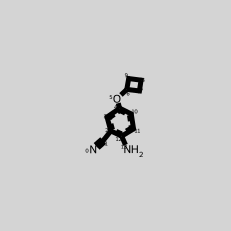 N#Cc1cc(OC2CCC2)ccc1N